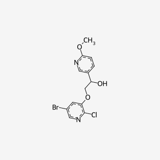 COc1ccc(C(O)COc2cc(Br)cnc2Cl)cn1